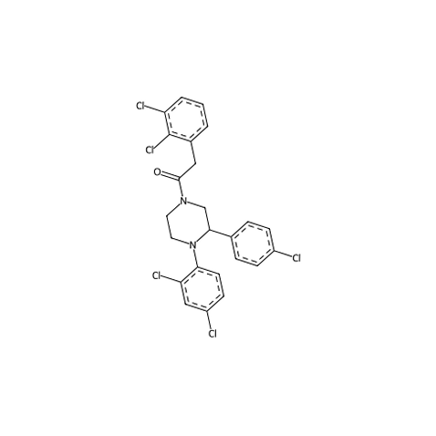 O=C(Cc1cccc(Cl)c1Cl)N1CCN(c2ccc(Cl)cc2Cl)C(c2ccc(Cl)cc2)C1